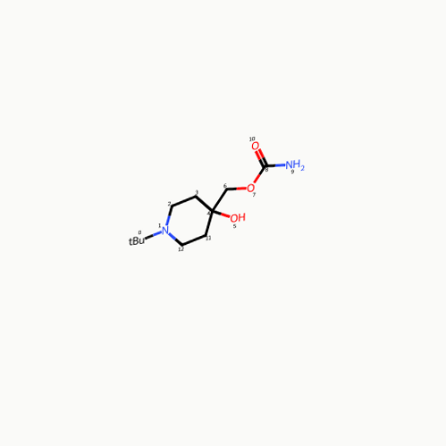 CC(C)(C)N1CCC(O)(COC(N)=O)CC1